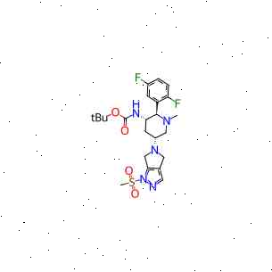 CN1C[C@H](N2Cc3cnn(S(C)(=O)=O)c3C2)C[C@H](NC(=O)OC(C)(C)C)[C@H]1c1cc(F)ccc1F